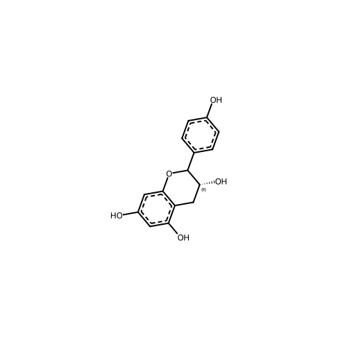 Oc1ccc(C2Oc3cc(O)cc(O)c3C[C@H]2O)cc1